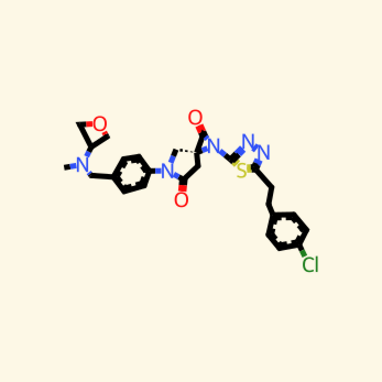 CN(Cc1ccc(N2C[C@]3(CC2=O)C(=O)N3c2nnc(CCc3ccc(Cl)cc3)s2)cc1)C1COC1